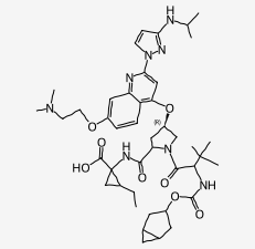 CCC1CC1(NC(=O)C1C[C@@H](Oc2cc(-n3ccc(NC(C)C)n3)nc3cc(OCCN(C)C)ccc23)CN1C(=O)C(NC(=O)OC1CC2CC2C1)C(C)(C)C)C(=O)O